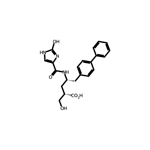 O=C(N[C@H](Cc1ccc(-c2ccccc2)cc1)C[C@@H](CO)C(=O)O)c1c[nH]c(O)n1